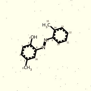 Cc1ccc(O)c(/N=N/c2ccccc2C)c1